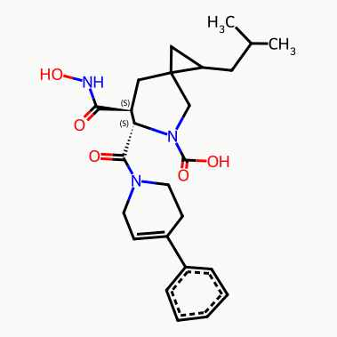 CC(C)CC1CC12C[C@H](C(=O)NO)[C@@H](C(=O)N1CC=C(c3ccccc3)CC1)N(C(=O)O)C2